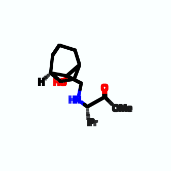 COC(=O)[C@@H](NC[C@@]1(O)C2CCC[C@@H]1CC2)C(C)C